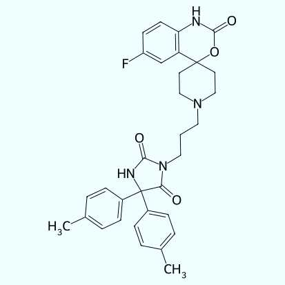 Cc1ccc(C2(c3ccc(C)cc3)NC(=O)N(CCCN3CCC4(CC3)OC(=O)Nc3ccc(F)cc34)C2=O)cc1